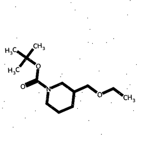 CCOCC1CCCN(C(=O)OC(C)(C)C)C1